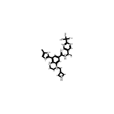 Cc1cnc(-c2cc(C(=O)N[C@H](C)c3cnc(C(F)(F)F)nc3)cc3c2OCCN3CC2CNC2)s1